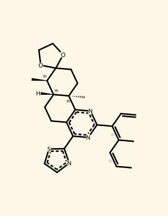 C=C/C(=C(C)/C=C\C)c1nc(-c2nccs2)c2c(n1)[C@]1(C)CCC3(OCCO3)[C@H](C)[C@H]1CC2